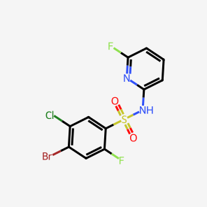 O=S(=O)(Nc1cccc(F)n1)c1cc(Cl)c(Br)cc1F